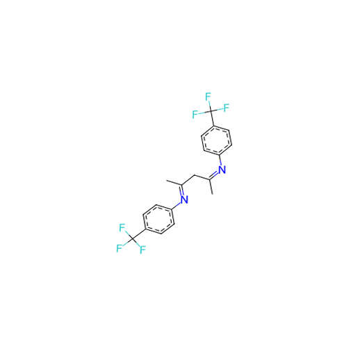 CC(CC(C)=Nc1ccc(C(F)(F)F)cc1)=Nc1ccc(C(F)(F)F)cc1